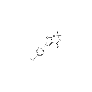 CC1(C)OC(=O)C(=CNc2ccc([N+](=O)[O-])cc2)C(=O)O1